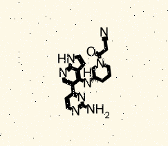 N#CCC(=O)N1CCC[C@@H](Nc2c(-c3ccnc(N)n3)cnc3[nH]ccc23)C1